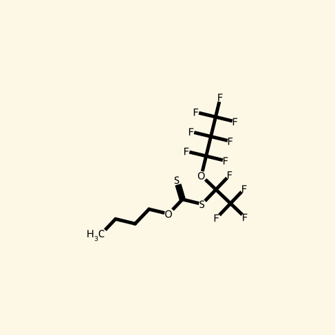 CCCCOC(=S)SC(F)(OC(F)(F)C(F)(F)C(F)(F)F)C(F)(F)F